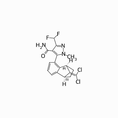 Cn1nc(C(F)F)c(C(N)=O)c1-c1cccc2c1[C@H]1CC[C@@H]2C1=C(Cl)Cl